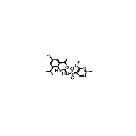 COc1nc(C)ncc1S(=O)(=O)NC(=O)Nc1c(C(C)C)cc(Cl)cc1C(C)C